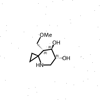 COC[C@@H]1[C@@H](O)[C@H](O)CNC12CC2